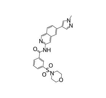 Cn1cc(-c2ccc3cnc(NC(=O)c4cccc(S(=O)(=O)N5CCOCC5)c4)cc3c2)cn1